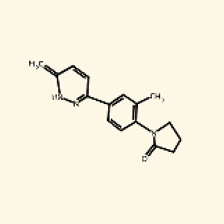 C=C1C=CC(c2ccc(N3CCCC3=O)c(C)c2)=NN1